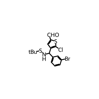 CC(C)(C)SNC(c1cccc(Br)c1)c1cc(C=O)sc1Cl